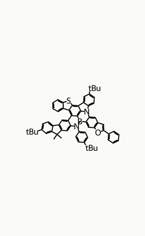 CC(C)(C)c1ccc(N2B3c4cc5oc(-c6ccccc6)cc5cc4-n4c5ccc(C(C)(C)C)cc5c5c6sc7ccccc7c6c(c3c54)-c3cc4c(cc32)C(C)(C)c2cc(C(C)(C)C)ccc2-4)cc1